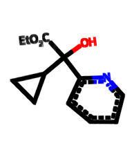 CCOC(=O)C(O)(c1ccccn1)C1CC1